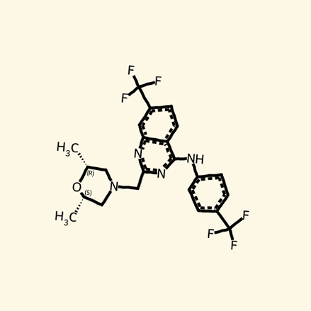 C[C@@H]1CN(Cc2nc(Nc3ccc(C(F)(F)F)cc3)c3ccc(C(F)(F)F)cc3n2)C[C@H](C)O1